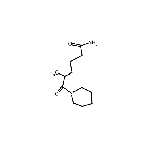 CC(CCCC(N)=O)C(=O)N1CCCCC1